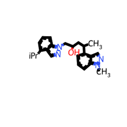 CC(C)c1cccc2c1cnn2CC(O)CC(C)c1cccc2c1cnn2C